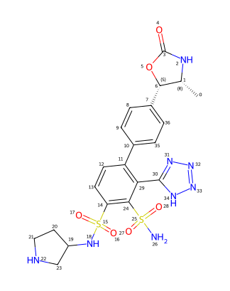 C[C@H]1NC(=O)O[C@H]1c1ccc(-c2ccc(S(=O)(=O)NC3CCNC3)c(S(N)(=O)=O)c2-c2nnn[nH]2)cc1